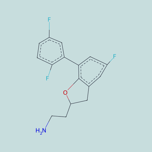 NCCC1Cc2cc(F)cc(-c3cc(F)ccc3F)c2O1